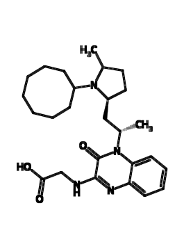 CC1CC[C@@H](C[C@H](C)n2c(=O)c(NCC(=O)O)nc3ccccc32)N1C1CCCCCCC1